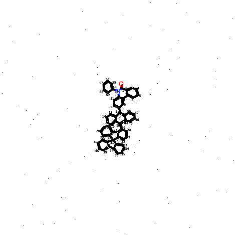 O=c1c2ccccc2c2cc(-c3c4ccccc4c(-c4cccc5c4-c4ccccc4C54c5ccccc5-c5ccccc54)c4ccccc34)ccc2n1-c1ccccc1